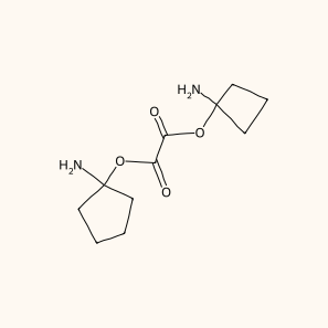 NC1(OC(=O)C(=O)OC2(N)CCC2)CCCC1